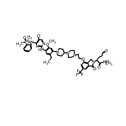 CCc1cc(Nc2ncc(Cl)c(Nc3ccccc3P(C)(C)=O)n2)c(OC)cc1N1CCC(N2CCN(CCOc3cc(C(F)(F)F)cc4c3CN(C(CCC=O)C(=O)NC)C4=O)CC2)CC1